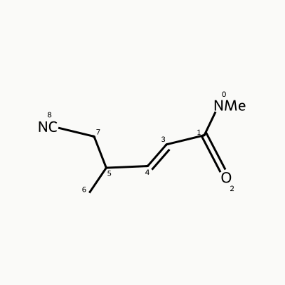 CNC(=O)C=CC(C)CC#N